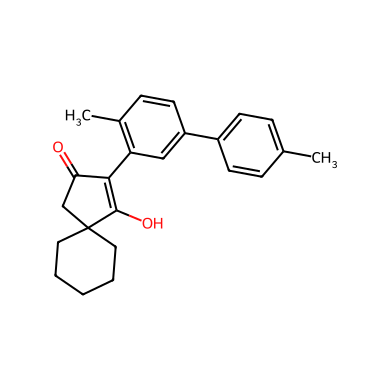 Cc1ccc(-c2ccc(C)c(C3=C(O)C4(CCCCC4)CC3=O)c2)cc1